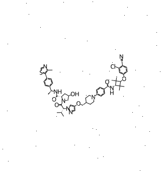 Cc1ncsc1-c1ccc([C@H](C)NC(=O)[C@@H]2C[C@@H](O)CN2C(=O)[C@@H](C(C)C)n2cc(OCC3CCN(c4ccc(C(=O)N[C@H]5C(C)(C)[C@H](Oc6ccc(C#N)c(Cl)c6)C5(C)C)cc4)CC3)cn2)cc1